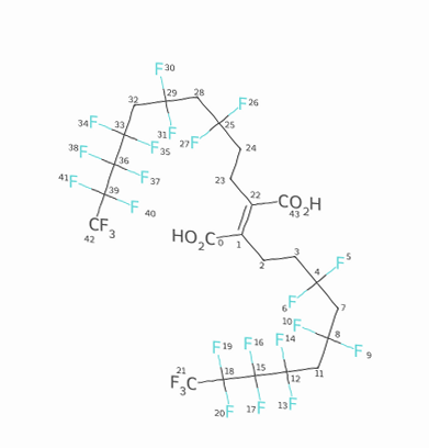 O=C(O)C(CCC(F)(F)CC(F)(F)CC(F)(F)C(F)(F)C(F)(F)C(F)(F)F)=C(CCC(F)(F)CC(F)(F)CC(F)(F)C(F)(F)C(F)(F)C(F)(F)F)C(=O)O